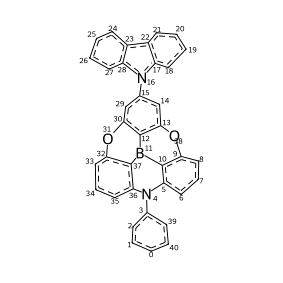 c1ccc(N2c3cccc4c3B3c5c(cc(-n6c7ccccc7c7ccccc76)cc5Oc5cccc2c53)O4)cc1